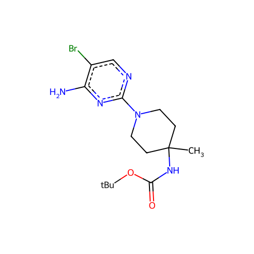 CC1(NC(=O)OC(C)(C)C)CCN(c2ncc(Br)c(N)n2)CC1